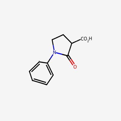 O=C(O)C1CCN(c2[c]cccc2)C1=O